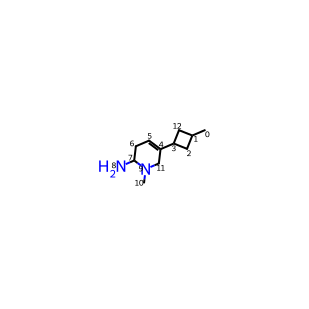 CC1CC(C2=CCC(N)N(C)C2)C1